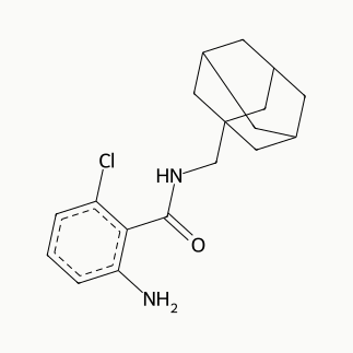 Nc1cccc(Cl)c1C(=O)NCC12CC3CC(CC(C3)C1)C2